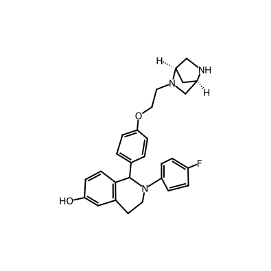 Oc1ccc2c(c1)CCN(c1ccc(F)cc1)C2c1ccc(OCCN2C[C@H]3C[C@@H]2CN3)cc1